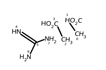 CC(=O)O.CC(=O)O.N=C(N)N